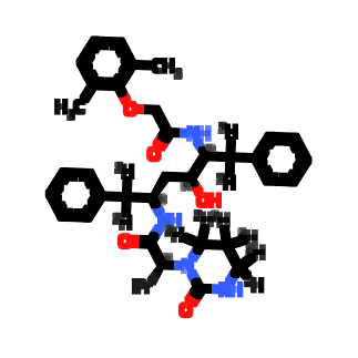 [2H]C([2H])(c1ccccc1)[C@H](NC(=O)COc1c(C)cccc1C)[C@@H](O)C[C@@H](NC(=O)[C@H](C(C)C)N1C(=O)NC([2H])([2H])C([2H])([2H])C1([2H])[2H])C([2H])([2H])c1ccccc1